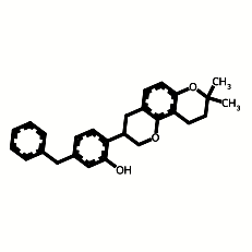 CC1(C)CCc2c(ccc3c2OCC(c2ccc(Cc4ccccc4)cc2O)C3)O1